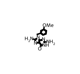 COc1cccc(Cn2c(N)nc3c(=O)[nH]c(N)nc32)c1